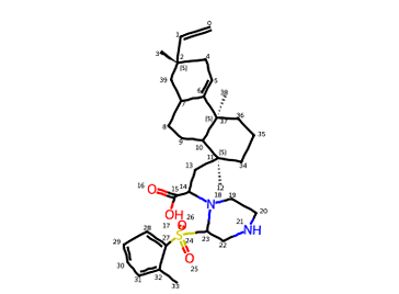 C=C[C@]1(C)CC=C2C(CCC3[C@](C)(CC(C(=O)O)N4CCNCC4S(=O)(=O)c4ccccc4C)CCC[C@]23C)C1